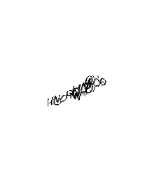 CCn1c(Oc2ccc3cc[nH]c3c2)nnc1[C@@H](C)NS(=O)(=O)c1c(C)cc(OC)c(C)c1C